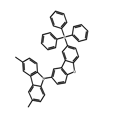 Cc1ccc2c(c1)c1cc(C)ccc1n2-c1ccc2oc3ccc(S(c4ccccc4)(c4ccccc4)c4ccccc4)cc3c2c1